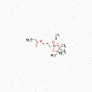 C=CC(=O)OCCC[Si]1(OCC)OC(C)(C)C(C)(C)O1